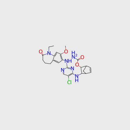 CCN1C(=O)CCCc2cc(Nc3ncc(Cl)c(NC4C5C=CC(C5)C4OC(N)=O)n3)c(OC)cc21